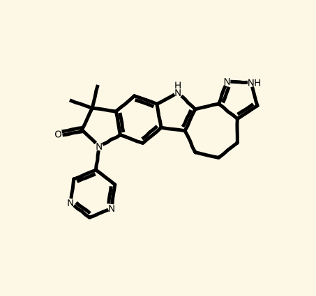 CC1(C)C(=O)N(c2cncnc2)c2cc3c4c([nH]c3cc21)-c1n[nH]cc1CCC4